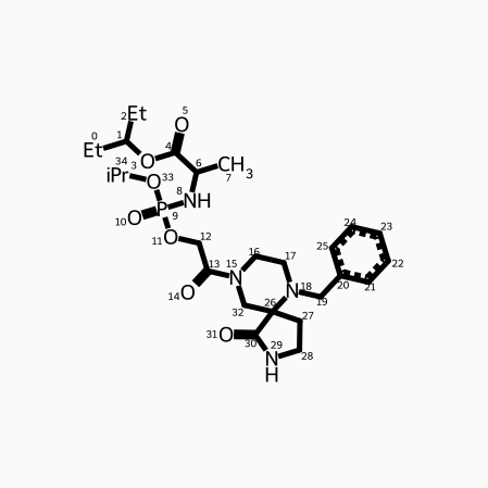 CCC(CC)OC(=O)C(C)NP(=O)(OCC(=O)N1CCN(Cc2ccccc2)C2(CCNC2=O)C1)OC(C)C